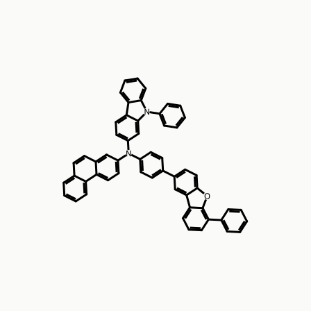 c1ccc(-c2cccc3c2oc2ccc(-c4ccc(N(c5ccc6c(ccc7ccccc76)c5)c5ccc6c7ccccc7n(-c7ccccc7)c6c5)cc4)cc23)cc1